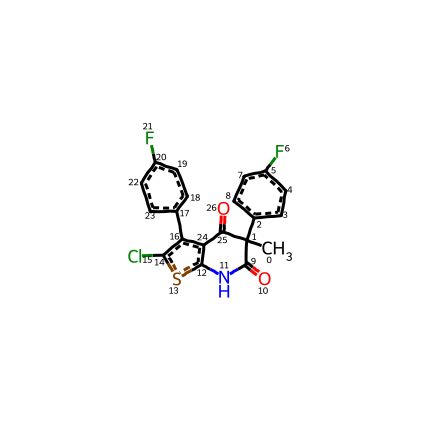 CC1(c2ccc(F)cc2)C(=O)Nc2sc(Cl)c(-c3ccc(F)cc3)c2C1=O